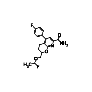 CC(F)OCC1CCc2c(-c3ccc(F)cc3)cc(C(N)=O)nc2O1